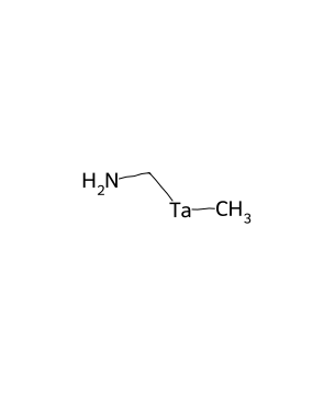 [CH3][Ta][CH2]N